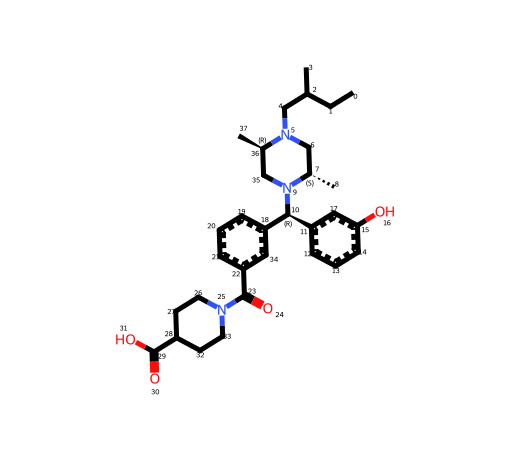 CCC(C)CN1C[C@H](C)N([C@@H](c2cccc(O)c2)c2cccc(C(=O)N3CCC(C(=O)O)CC3)c2)C[C@H]1C